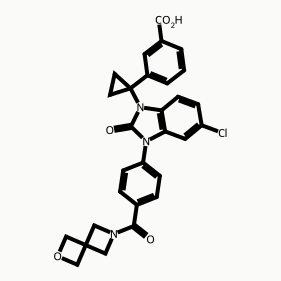 O=C(O)c1cccc(C2(n3c(=O)n(-c4ccc(C(=O)N5CC6(COC6)C5)cc4)c4cc(Cl)ccc43)CC2)c1